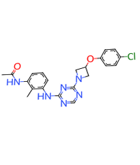 CC(=O)Nc1cccc(Nc2ncnc(N3CC(Oc4ccc(Cl)cc4)C3)n2)c1C